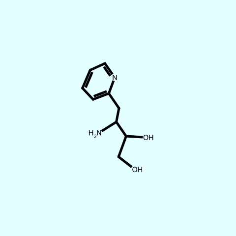 NC(Cc1ccccn1)C(O)CO